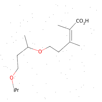 CC(CCOC(C)CCOC(C)C)=C(C)C(=O)O